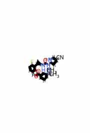 CC(=O)c1ccc(F)c(C2CC2NC(=O)Nc2ccc(C#N)cn2)c1OC(=O)c1cccc(N(C)C)c1